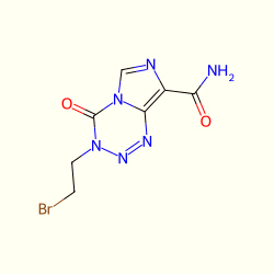 NC(=O)c1ncn2c(=O)n(CCBr)nnc12